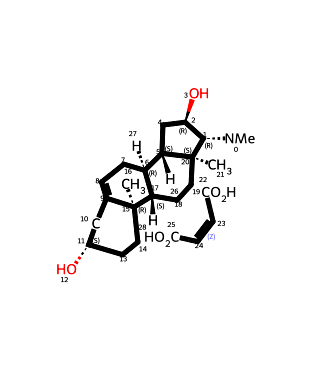 CN[C@H]1[C@H](O)C[C@H]2[C@@H]3CC=C4C[C@@H](O)CC[C@]4(C)[C@H]3CC[C@@]21C.O=C(O)/C=C\C(=O)O